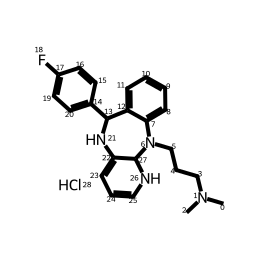 CN(C)CCCN1c2ccccc2C(c2ccc(F)cc2)NC2=CC=CNC21.Cl